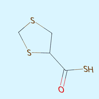 O=C(S)C1CSCS1